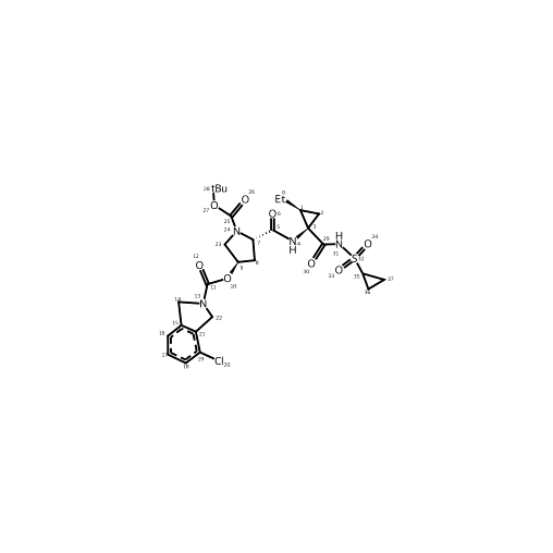 CC[C@H]1C[C@]1(NC(=O)[C@@H]1C[C@@H](OC(=O)N2Cc3cccc(Cl)c3C2)CN1C(=O)OC(C)(C)C)C(=O)NS(=O)(=O)C1CC1